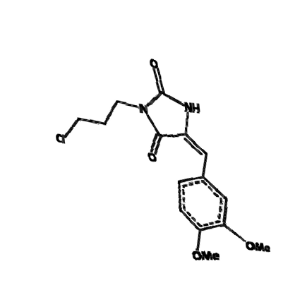 COc1ccc(/C=C2/NC(=O)N(CCCCl)C2=O)cc1OC